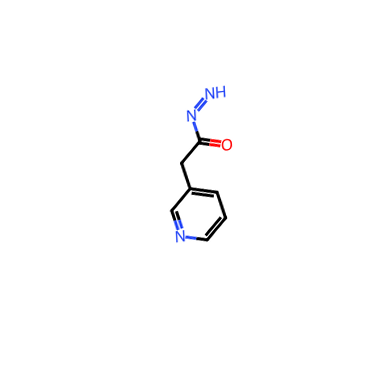 N=NC(=O)Cc1cccnc1